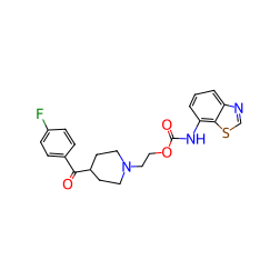 O=C(Nc1cccc2ncsc12)OCCN1CCC(C(=O)c2ccc(F)cc2)CC1